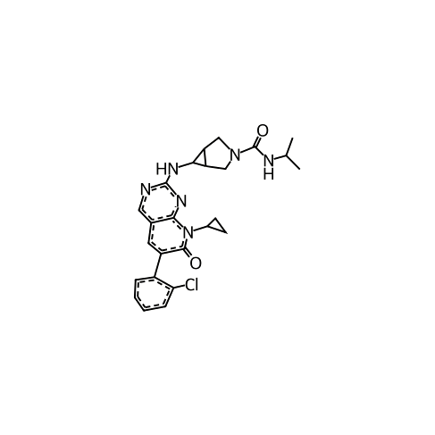 CC(C)NC(=O)N1CC2C(C1)C2Nc1ncc2cc(-c3ccccc3Cl)c(=O)n(C3CC3)c2n1